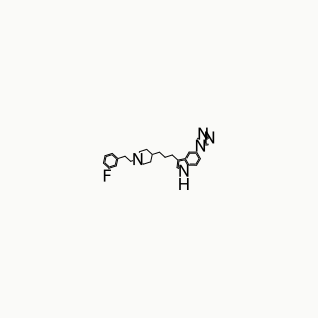 Fc1cccc(CCN2CCC(CCCc3c[nH]c4ccc(-n5cnnc5)cc34)CC2)c1